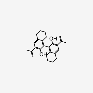 C=C(C)c1cc2c(c(-c3c(O)c(C(=C)C)cc4c3CCCC4)c1O)CCCC2